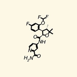 C[C@H]1[C@H](c2ccc(F)cc2OC(F)F)[C@H](C(=O)Nc2ccnc(C(N)=O)c2)OC1(C)C